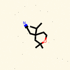 CC(C)C1(CC#N)CCOC(C)(C)C1